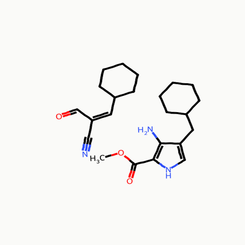 COC(=O)c1[nH]cc(CC2CCCCC2)c1N.N#CC(C=O)=CC1CCCCC1